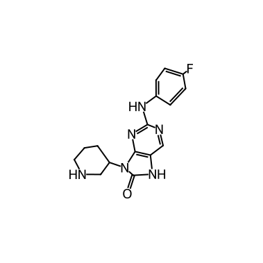 O=c1[nH]c2cnc(Nc3ccc(F)cc3)nc2n1C1CCCNC1